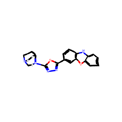 c1ccc2c(c1)Nc1ccc(-c3nnc(N4CCN5CCC4CC5)o3)cc1O2